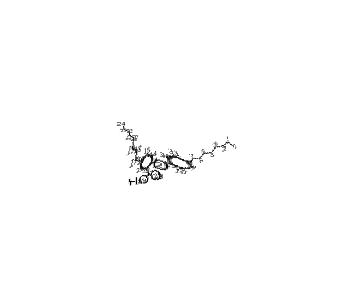 CCCCCCCCc1ccc(Oc2ccc(CCCCCCCC)cc2C(=O)O)cc1